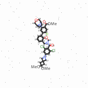 COC(=O)c1cc(F)c(-c2cccc3c2OCN(C(=O)c2c(Cl)cc(N4CC5(C4)CC(OC)(OC)C5)cc2Cl)C3)cc1N1C2CCC1COC2